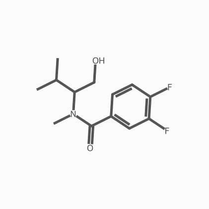 CC(C)C(CO)N(C)C(=O)c1ccc(F)c(F)c1